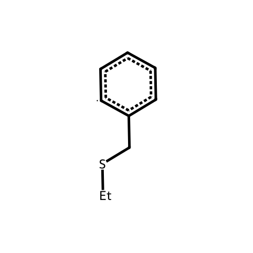 CCSCc1[c]cccc1